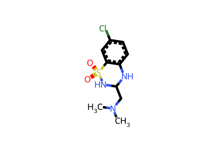 CN(C)CC1Nc2ccc(Cl)cc2S(=O)(=O)N1